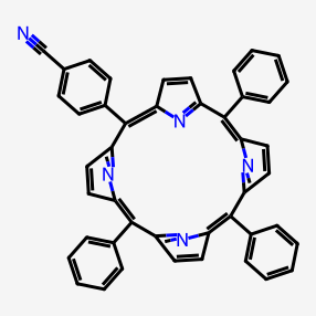 N#Cc1ccc(C2=C3C=CC(=N3)C(c3ccccc3)=C3C=CC(=N3)C(c3ccccc3)=C3C=CC(=N3)C(c3ccccc3)=C3C=CC2=N3)cc1